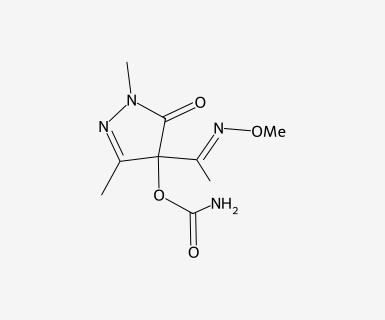 CON=C(C)C1(OC(N)=O)C(=O)N(C)N=C1C